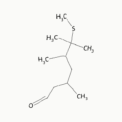 CSC(C)(C)C(C)CC(C)CC=O